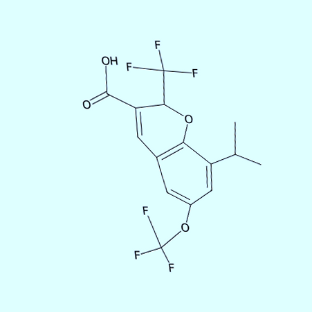 CC(C)c1cc(OC(F)(F)F)cc2c1OC(C(F)(F)F)C(C(=O)O)=C2